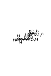 N#CBNCCCCC(NC(=O)NC(CCC(=O)O)C(=O)O)C(=O)O